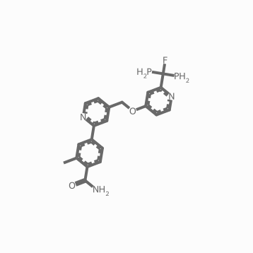 Cc1cc(-c2cc(COc3ccnc(C(F)(P)P)c3)ccn2)ccc1C(N)=O